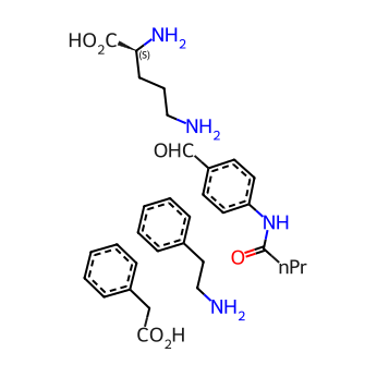 CCCC(=O)Nc1ccc(C=O)cc1.NCCC[C@H](N)C(=O)O.NCCc1ccccc1.O=C(O)Cc1ccccc1